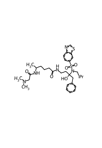 CC(C)CN(C(O)(CCNC(=O)CCCC(C)NC(=O)CN(C)C)Cc1ccccc1)S(=O)(=O)c1ccc2ncsc2c1